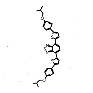 CC(C)COc1ccc(-c2ccc(-c3ccc(-c4ccc(-c5ccc(OCC(C)C)cc5)s4)c4nsnc34)s2)cc1